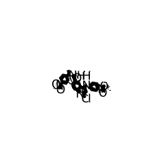 CC(NS(=O)(=O)c1ccc2nc(Cl)cc(Nc3ccc([N+](=O)[O-])cc3)c2c1)c1ccc([N+](=O)[O-])cc1